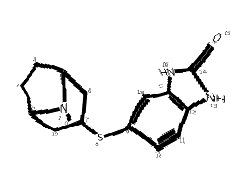 CN1C2CCC1CC(Sc1ccc3[nH]c(=O)[nH]c3c1)C2